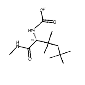 CNC(=O)[C@H](NC(=O)O)C(C)(C)CC(C)(C)C